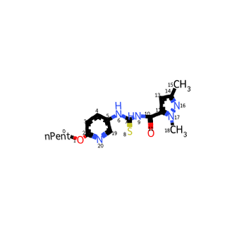 CCCCCOc1ccc(NC(=S)NC(=O)c2cc(C)nn2C)cn1